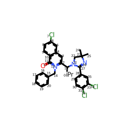 CC(C)C(c1cc2cc(Cl)ccc2c(=O)n1Cc1ccccc1)N1CC(C)(C)N=C1c1ccc(Cl)c(Cl)c1